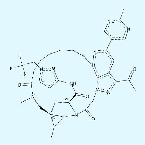 CC(=O)c1nn2c3c(cc(-c4cnc(C)nc4)cc13)CCCCCCC(=O)N(C)C[C@@]13C[C@@H](C(=O)Nc4ccn(CC(F)(F)F)n4)N(C(=O)C2)C1C3C